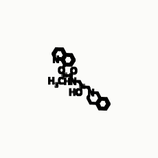 C[C@H](Oc1cccc2cccnc12)C(=O)NC[C@@H](O)CN1CCc2ccccc2C1